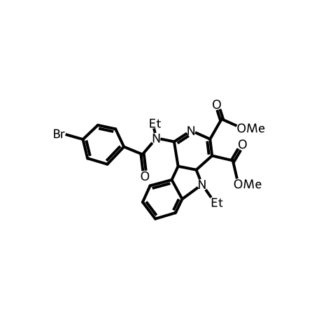 CCN(C(=O)c1ccc(Br)cc1)C1=NC(C(=O)OC)=C(C(=O)OC)C2C1c1ccccc1N2CC